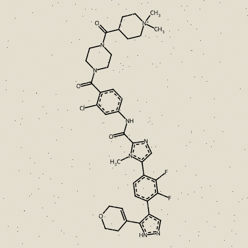 Cn1c(-c2ccc(-c3cn[nH]c3C3=CCOCC3)c(F)c2F)cnc1C(=O)Nc1ccc(C(=O)N2CCN(C(=O)C3CC[N+](C)(C)CC3)CC2)c(Cl)c1